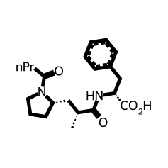 CCCC(=O)N1CCC[C@H]1C[C@@H](C)C(=O)N[C@H](Cc1ccccc1)C(=O)O